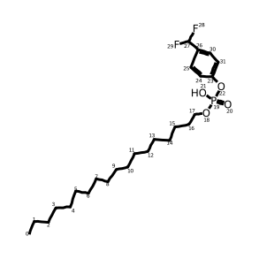 CCCCCCCCCCCCCCCCCCOP(=O)(O)Oc1ccc(C(F)F)cc1